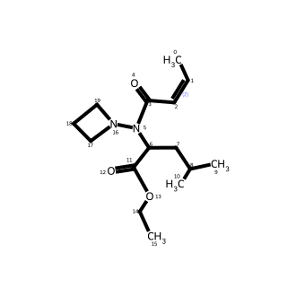 C/C=C\C(=O)N(C(CC(C)C)C(=O)OCC)N1CCC1